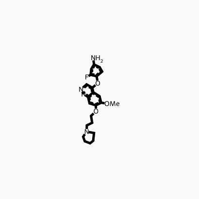 COc1cc2c(Oc3ccc(N)cc3F)cnnc2cc1OCCCN1CCCCC1